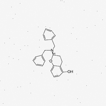 Oc1cccc2c1CC[C@H](N(Cc1ccccc1)Cc1ccccc1)O2